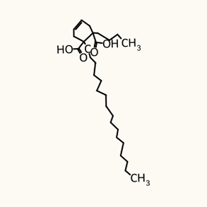 CCCCCCCCCCCCCCCCCC1(C(=O)O)CC=CCC1(CCCC)C(=O)O